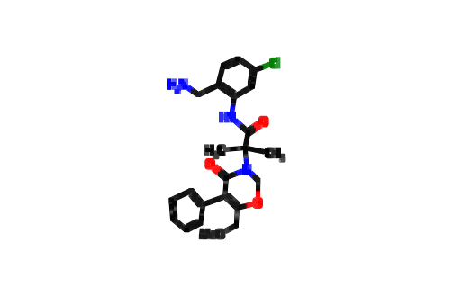 COCC1=C(c2ccccc2)C(=O)N(C(C)(C)C(=O)Nc2cc(Cl)ccc2CN)CO1